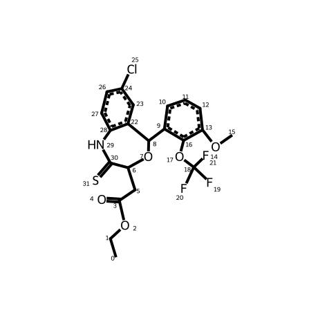 CCOC(=O)CC1OC(c2cccc(OC)c2OC(F)(F)F)c2cc(Cl)ccc2NC1=S